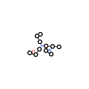 c1ccc(-c2ccc(-c3ccc(N(c4ccc(-c5cccc6ccccc56)cc4)c4ccc(-c5cccc6c5oc5ccccc56)cc4)cc3)c(-n3c4ccccc4c4ccccc43)c2)cc1